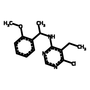 CCc1c(Cl)ncnc1NC(C)c1ccccc1OC